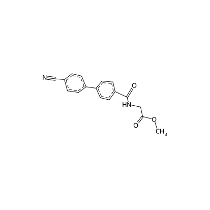 COC(=O)CNC(=O)c1ccc(-c2ccc(C#N)cc2)cc1